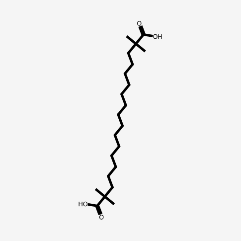 CC(C)(CCCCCCCCCCCCCCC(C)(C)C(=O)O)C(=O)O